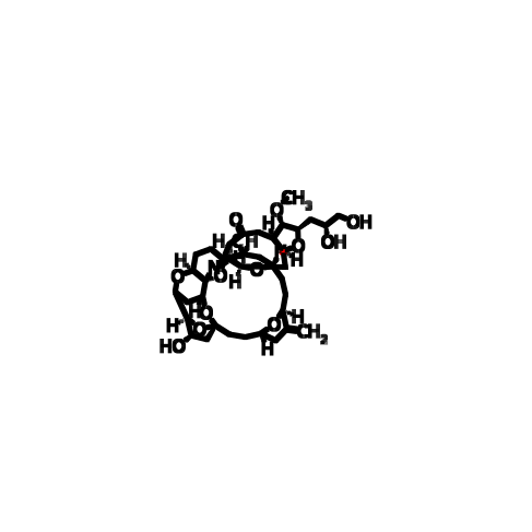 C=C1C[C@@H]2CC[C@]34C[C@@H](O)[C@H](O3)C3C[C@@H](O4)[C@]45/N=C6\[C@H](C)C[C@H](CC[C@@H]1O2)O[C@@H]6C[C@@H]1O[C@H](C[C@H](O)CO)[C@H](OC)[C@H]1CC(=O)C[C@@H](CC[C@@H]4O3)O5